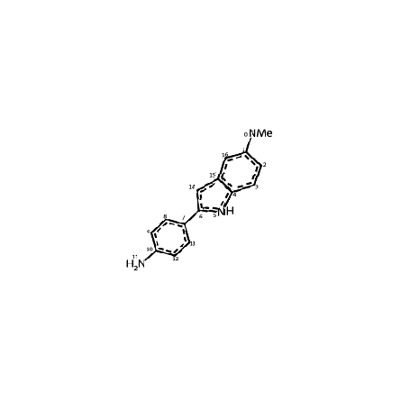 CNc1ccc2[nH]c(-c3ccc(N)cc3)cc2c1